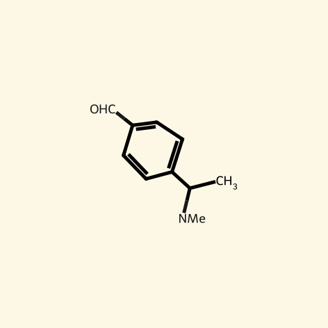 CNC(C)c1ccc(C=O)cc1